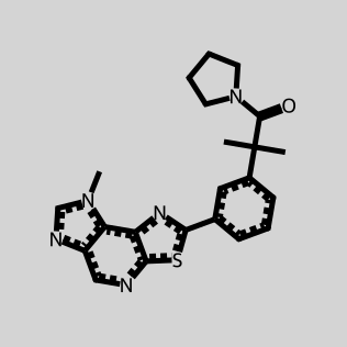 Cn1cnc2cnc3sc(-c4cccc(C(C)(C)C(=O)N5CCCC5)c4)nc3c21